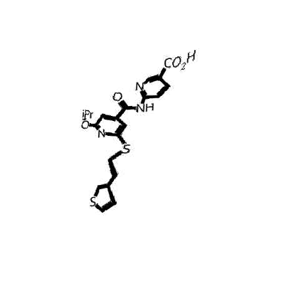 CC(C)Oc1cc(C(=O)Nc2ccc(C(=O)O)cn2)cc(SCCC2C=CSC2)n1